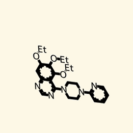 CCOc1cc2ncnc(N3CCN(c4ccccn4)CC3)c2c(OCC)c1OCC